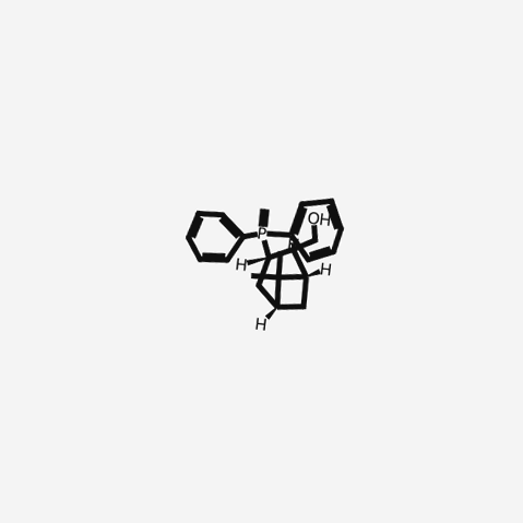 C=P(c1ccccc1)(c1ccccc1)[C@H]1C[C@H]2C[C@@H]([C@H]1CO)C2(C)C